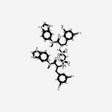 CN(C(=O)C(Cc1cc(F)cc(F)c1)NS(=O)(=O)CS(=O)(=O)C[C@@H](Cc1cc(F)cc(F)c1)C(=O)N(C)c1ccc2scnc2c1)c1ccc2scnc2c1